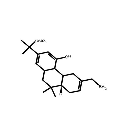 BCC1=CC[C@H]2C(C1)C1C(O)=CC(C(C)(C)CCCCCC)=CC1CC2(C)C